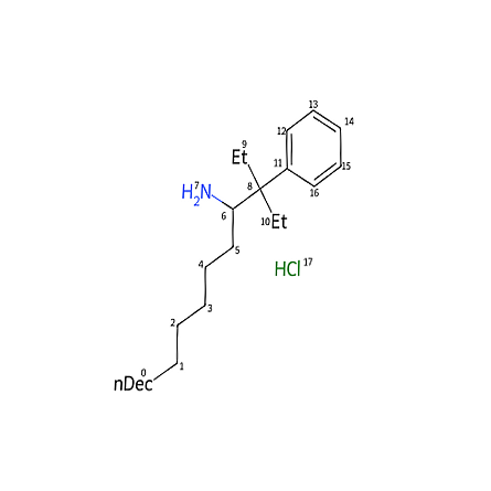 CCCCCCCCCCCCCCCC(N)C(CC)(CC)c1ccccc1.Cl